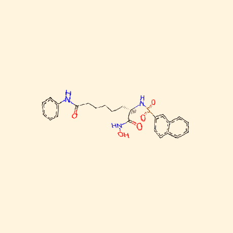 O=C(CCCCC[C@H](NS(=O)(=O)c1ccc2ccccc2c1)C(=O)NO)Nc1ccccc1